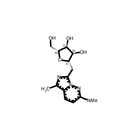 CNc1ccc2c(C)nc(C[C@@H]3O[C@H](CO)[C@@H](O)[C@H]3O)n2n1